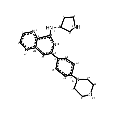 c1cnc2c(N[C@@H]3CCNC3)nc(-c3ccc(N4CCOCC4)cc3)cc2n1